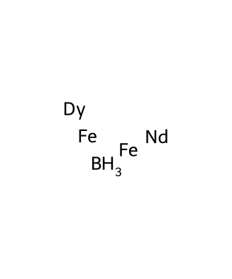 B.[Dy].[Fe].[Fe].[Nd]